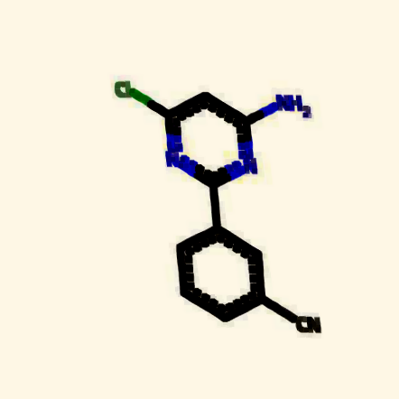 N#Cc1cccc(-c2nc(N)cc(Cl)n2)c1